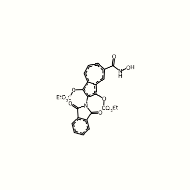 CCOC(=O)Oc1c2cccc(C(=O)NO)cc-2c(OC(=O)OCC)c1N1C(=O)c2ccccc2C1=O